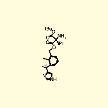 Cc1c(COC(=O)C(N)(C(=O)OC(C)(C)C)C(C)C)cccc1[C@H](C)c1c[nH]cn1